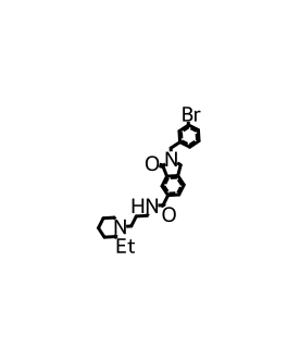 CCC1CCCCN1CCCNC(=O)c1ccc2c(c1)C(=O)N(Cc1cccc(Br)c1)C2